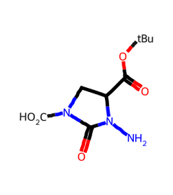 CC(C)(C)OC(=O)C1CN(C(=O)O)C(=O)N1N